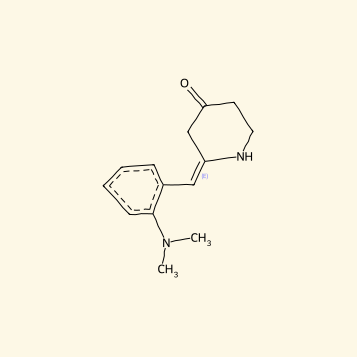 CN(C)c1ccccc1/C=C1\CC(=O)CCN1